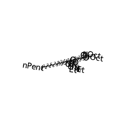 CCCCCC=CCC=CCCCCCCCCC(CCOC(=O)CCCCC(OCCCCCCCC)OCCCCCCCC)OC(=O)OCCCN(CC)CC